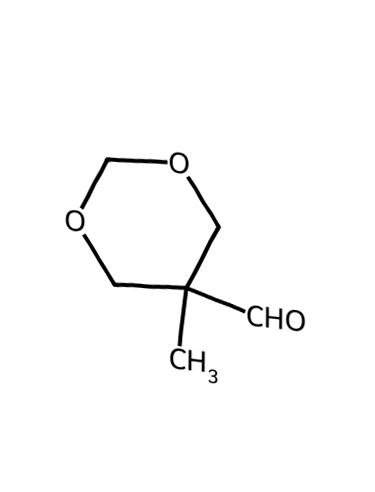 CC1(C=O)COCOC1